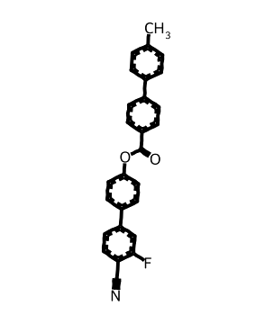 Cc1ccc(-c2ccc(C(=O)Oc3ccc(-c4ccc(C#N)c(F)c4)cc3)cc2)cc1